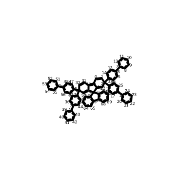 C1=CC(c2ccc(-c3ccccc3)cc2)(c2ccc(-c3ccccc3)cc2)C=C2C1=C1C=CC(c3ccc(-c4ccccc4)cc3)(c3ccc(-c4ccccc4)cc3)C=C1C21c2ccccc2-c2ccccc21